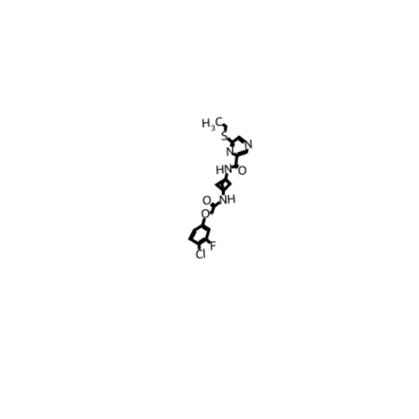 CCSc1cncc(C(=O)NC23CC(NC(=O)COc4ccc(Cl)c(F)c4)(C2)C3)n1